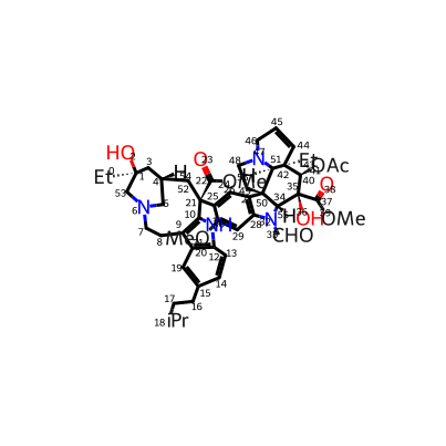 CC[C@]1(O)C[C@H]2CN(CCc3c([nH]c4ccc(CCC(C)C)cc34)[C@@](C(=O)OC)(c3cc4c(cc3OC)N(C=O)[C@H]3[C@@](O)(C(=O)OC)[C@H](OC(C)=O)[C@]5(CC)C=CCN6CC[C@]43[C@@H]65)C2)C1